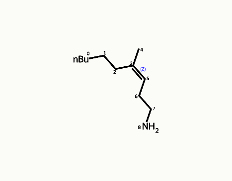 CCCCCC/C(C)=C\CCN